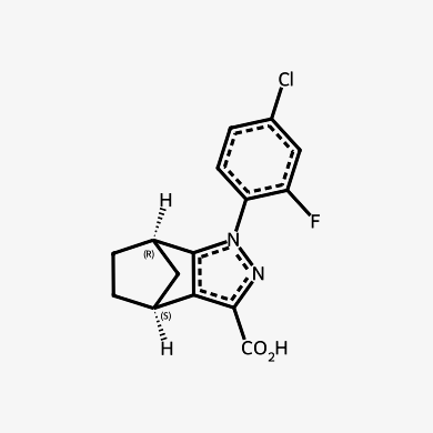 O=C(O)c1nn(-c2ccc(Cl)cc2F)c2c1[C@H]1CC[C@@H]2C1